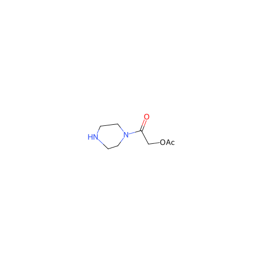 CC(=O)OCC(=O)N1CCNCC1